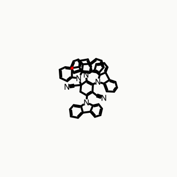 N#CC1=C(n2c3ccccc3c3ccccc32)CC(C#N)(n2c3ccccc3c3ccccc32)C(n2c3ccccc3c3ccccc32)=C1n1c2ccccc2c2ccccc21